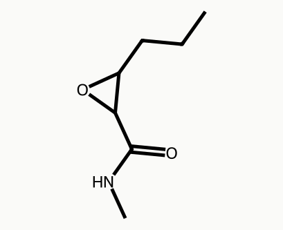 CCCC1OC1C(=O)NC